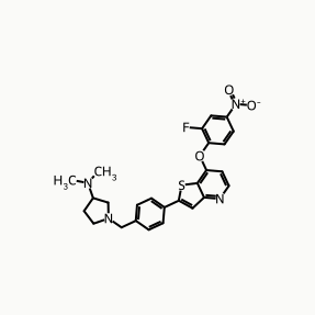 CN(C)C1CCN(Cc2ccc(-c3cc4nccc(Oc5ccc([N+](=O)[O-])cc5F)c4s3)cc2)C1